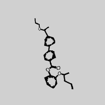 CCCOC(C)c1ccc(-c2ccc(C(=O)Oc3ccccc3OC(C)CCC)cc2)cc1